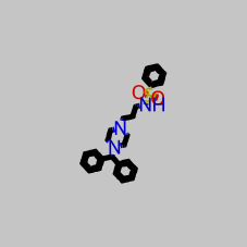 O=S(=O)(NCCCN1CCN(C(c2ccccc2)c2ccccc2)CC1)c1ccccc1